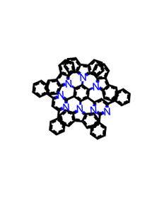 c1ccc(-c2cc(-c3c(-n4c5ccccc5c5ccccc54)c(-c4nc(-c5ccccc5)cc(-c5ccccc5)n4)c(-n4c5ccccc5c5ccccc54)c(-n4c5ccccc5c5ccccc54)c3-n3c4ccccc4c4ccccc43)nc(-c3ccccc3)n2)cc1